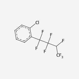 FC(C(F)(F)F)C(F)(F)C(F)(F)c1ccccc1Cl